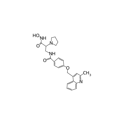 Cc1cc(COc2ccc(C(=O)NCC(C(=O)NO)N3CCCC3)cc2)c2ccccc2n1